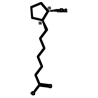 CCCCCCCC[C@H]1CCC[C@@H]1CCCCCCC([O])=O